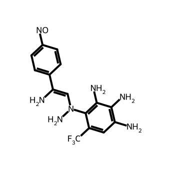 N/C(=C\N(N)c1c(C(F)(F)F)cc(N)c(N)c1N)c1ccc(N=O)cc1